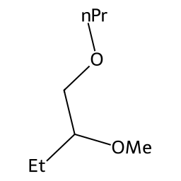 [CH2]CC(COCCC)OC